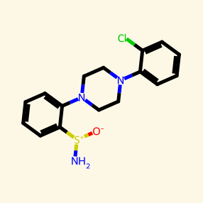 N[S+]([O-])c1ccccc1N1CCN(c2ccccc2Cl)CC1